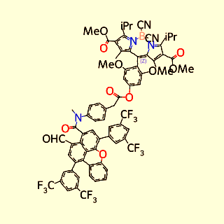 COC(=O)C1=C(C)/C(=C(\c2c(OC)cc(OC(=O)Cc3ccc(N(C)C(=O)c4cc(-c5cc(C(F)(F)F)cc(C(F)(F)F)c5)c5c6c(c(-c7cc(C(F)(F)F)cc(C(F)(F)F)c7)cc(C=O)c46)-c4ccccc4O5)cc3)cc2OC)c2c(C)c(C(=O)OC)c(C(C)C)n2B(C#N)C#N)N=C1C(C)C